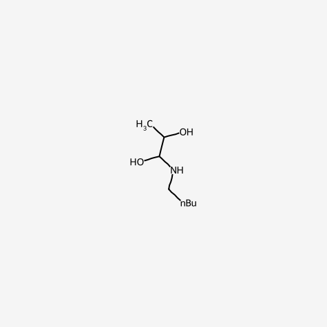 CCCCCNC(O)C(C)O